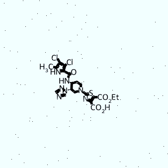 CCOC(=O)c1sc(N2CC[C@@H](NC(=O)c3[nH]c(C)c(Cl)c3Cl)[C@@H](n3cncn3)C2)nc1C(=O)O